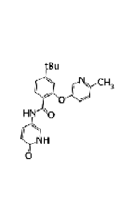 Cc1ccc(Oc2cc(C(C)(C)C)ccc2C(=O)Nc2ccc(=O)[nH]c2)cn1